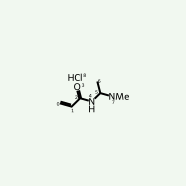 C=CC(=O)NC(C)NC.Cl